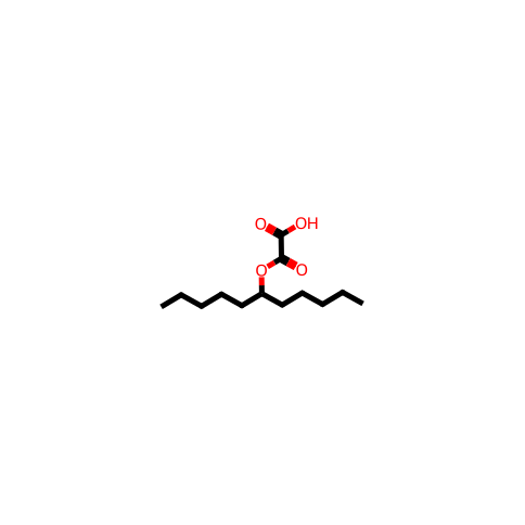 CCCCCC(CCCCC)OC(=O)C(=O)O